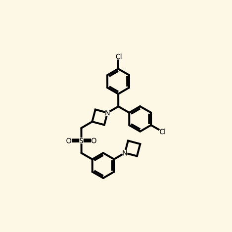 O=S(=O)(Cc1cccc(N2CCC2)c1)CC1CN(C(c2ccc(Cl)cc2)c2ccc(Cl)cc2)C1